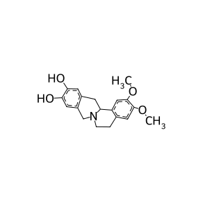 COc1cc2c(cc1OC)C1Cc3cc(O)c(O)cc3CN1CC2